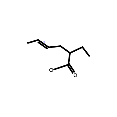 C/C=C/CC(CC)C(=O)Cl